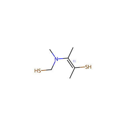 C/C(S)=C(/C)N(C)CS